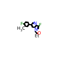 CCC(=O)Cn1cc(F)c2ncc(-c3ccc(F)c(C)c3)cc21